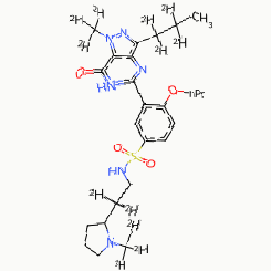 [2H]C([2H])(CNS(=O)(=O)c1ccc(OCCC)c(-c2nc3c(C([2H])([2H])C([2H])([2H])C)nn(C([2H])([2H])[2H])c3c(=O)[nH]2)c1)C1CCCN1C([2H])([2H])[2H]